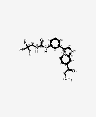 CCC(=O)c1ccn2c(-c3cccc(NC(=O)NCC(F)(F)F)c3)cnc2c1